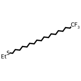 CCSCCCCCCCCCCCCCCCCCC(F)(F)F